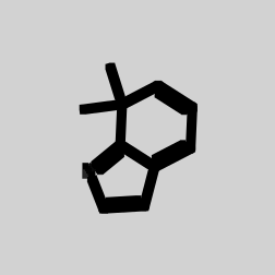 CC1(C)C=CC=C2C=CN=C21